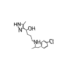 Cc1[nH]cnc1C(O)CCCNC(C)Cc1ccc(Cl)cc1